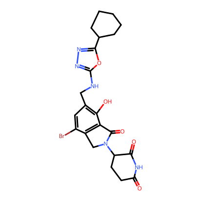 O=C1CCC(N2Cc3c(Br)cc(CNc4nnc(C5CCCCC5)o4)c(O)c3C2=O)C(=O)N1